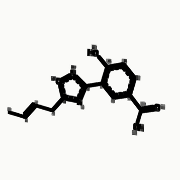 CC=CCc1nc(-c2cc(C(=O)O)ccc2O)no1